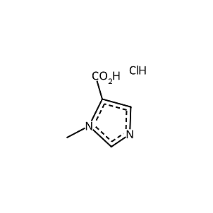 Cl.Cn1cncc1C(=O)O